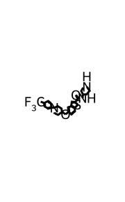 O=C(NC1CCNCC1)c1cc2cc(OC3CCN(c4ccc(C(F)(F)F)cc4)CC3)ccc2s1